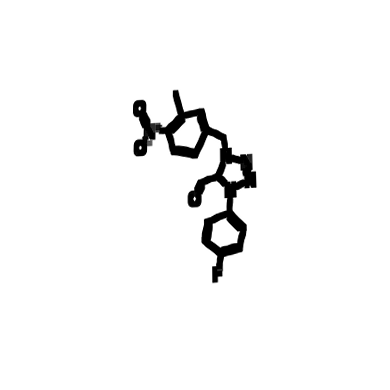 Cc1cc(CN2N=NN(c3ccc(F)cc3)C2C=O)ccc1[N+](=O)[O-]